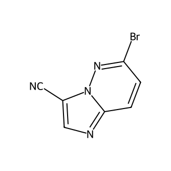 N#Cc1cnc2ccc(Br)nn12